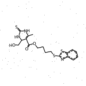 CC1=C(C(=O)OCCCCSc2nc3ccccc3s2)C(CO)NC(=S)N1